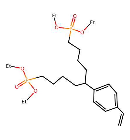 C=Cc1ccc(C(CCCCP(=O)(OCC)OCC)CCCCP(=O)(OCC)OCC)cc1